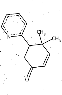 CC1(C)C=CC(=O)CC1c1ccccn1